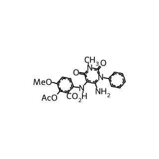 COc1ccc(N(C(=O)O)c2c(N)n(-c3ccccc3)c(=O)n(C)c2=O)cc1OC(C)=O